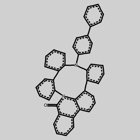 O=c1c2ccccc2c2cccc3c2n1-c1ccccc1-c1ccccc1N(c1ccc(-c2ccccc2)cc1)c1ccccc1-3